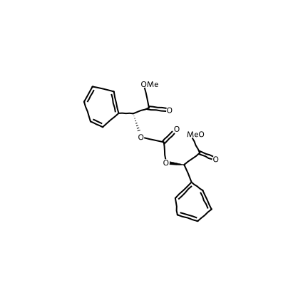 COC(=O)[C@H](OC(=O)O[C@@H](C(=O)OC)c1ccccc1)c1ccccc1